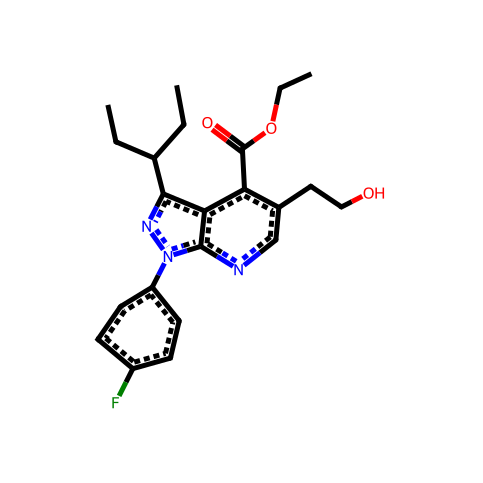 CCOC(=O)c1c(CCO)cnc2c1c(C(CC)CC)nn2-c1ccc(F)cc1